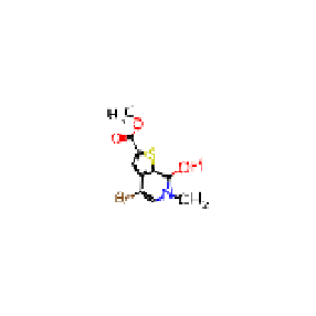 COC(=O)c1cc2c(s1)C(O)N(C)C=C2Br